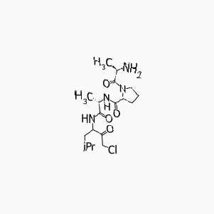 CC(C)CC(NC(=O)[C@H](C)NC(=O)C1CCCN1C(=O)[C@@H](C)N)C(=O)CCl